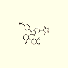 Cc1nnn(C)c1-c1ccc2c(c1)nc(C1CCCC(=O)N1c1ccc(F)c(Cl)c1)n2C1CCC(O)CC1